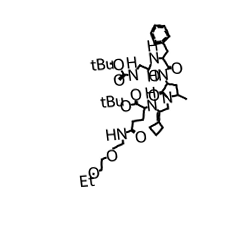 CCOCCOCCNC(=O)CCC(NC(CN1C(=O)C(NC(=O)C(Cc2ccccc2)NC(=O)CNC(=O)OC(C)(C)C)CC1C)=C1CCC1)C(=O)OC(C)(C)C